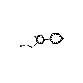 CCCCCNc1cc(-c2ccccn2)n[nH]1